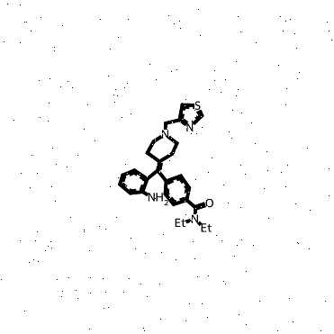 CCN(CC)C(=O)c1ccc(C(=C2CCN(Cc3cscn3)CC2)c2ccccc2N)cc1